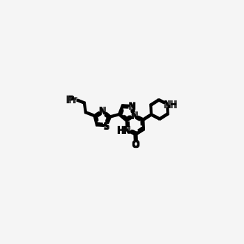 CC(C)CCc1csc(-c2cnn3c(C4CCNCC4)cc(=O)[nH]c23)n1